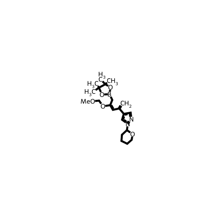 C=C(/C=C(\CB1OC(C)(C)C(C)(C)O1)OCOC)c1cnn(C2CCCCO2)c1